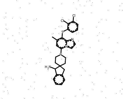 Cc1cc(N2CCC3(CC2)Cc2ccccc2C3N)n2ccnc2c1Sc1cccc(Cl)c1Cl